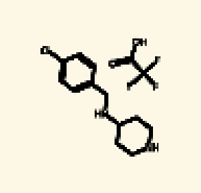 Clc1ccc(CNC2CCNCC2)cc1.O=C(O)C(F)(F)F